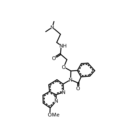 COc1ccc2ccc(N3C(=O)c4ccccc4C3OCC(=O)NCCN(C)C)nc2n1